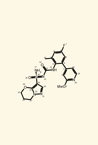 COc1cc(-c2cc(F)cc(C)c2NC(=O)N=[S@@](N)(=O)c2cnn3c2OCCC3)ccn1